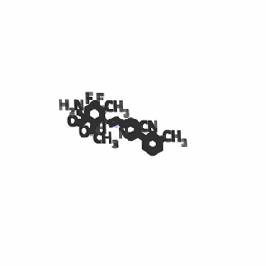 Cc1cccc(-c2ccc(/C=C/[C@@H]3[C@@H]4[C@@H](C)OC(=O)[C@]4(CN)CC(F)(F)[C@H]3C)nc2)c1C#N